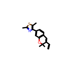 C=CC1=Cc2ccc(-c3nc(C)sc3C)cc2OC1(C)C